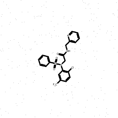 O=C(CN(c1cc(C(F)(F)F)ccc1Cl)S(=O)(=O)c1ccccc1)NCc1ccccn1